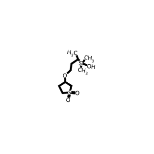 CC(CCOC1CCS(=O)(=O)C1)[Si](C)(C)O